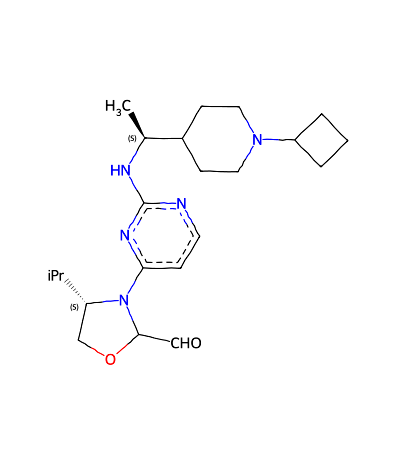 CC(C)[C@H]1COC(C=O)N1c1ccnc(N[C@@H](C)C2CCN(C3CCC3)CC2)n1